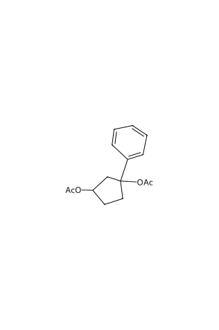 CC(=O)OC1CCC(OC(C)=O)(c2ccccc2)C1